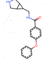 O=C(NCC1C2CNCC21)c1ccc(Oc2ccccc2)cc1